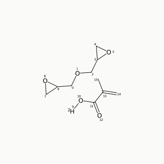 C(OCC1CO1)C1CO1.[2H]OC(=O)C(=C)C